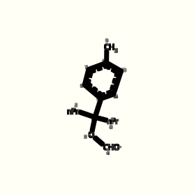 CCCC(CCC)(O[C]=O)c1ccc(C)cc1